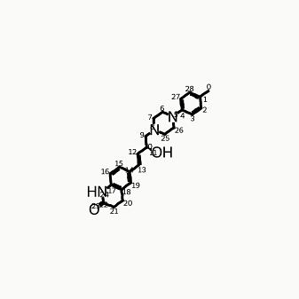 Cc1ccc(N2CCN(C[C@@H](O)/C=C/c3ccc4c(c3)CCC(=O)N4)CC2)cc1